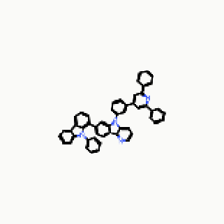 c1ccc(-c2cc(-c3cccc(-n4c5cc(-c6cccc7c8ccccc8n(-c8ccccc8)c67)ccc5c5ncccc54)c3)cc(-c3ccccc3)n2)cc1